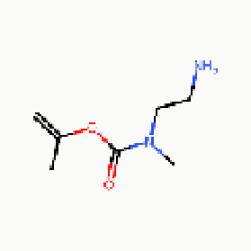 C=C(C)OC(=O)N(C)CCN